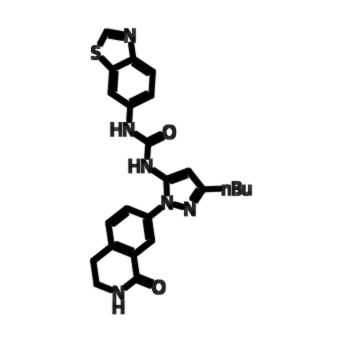 CCCCc1cc(NC(=O)Nc2ccc3ncsc3c2)n(-c2ccc3c(c2)C(=O)NCC3)n1